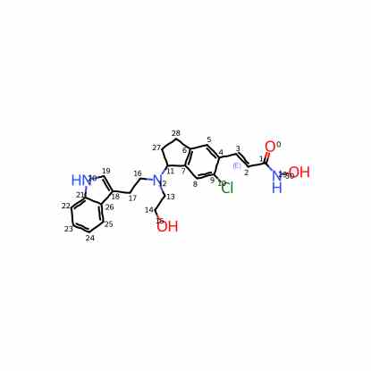 O=C(/C=C/c1cc2c(cc1Cl)C(N(CCO)CCc1c[nH]c3ccccc13)CC2)NO